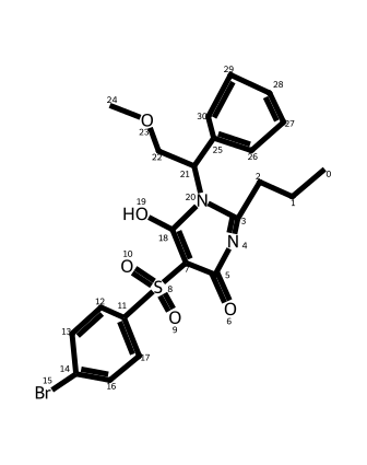 CCCc1nc(=O)c(S(=O)(=O)c2ccc(Br)cc2)c(O)n1C(COC)c1ccccc1